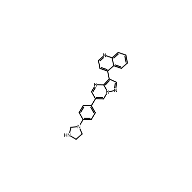 c1ccc2c(-c3cnn4cc(-c5ccc(N6CCNC6)cc5)cnc34)ccnc2c1